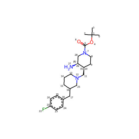 CC(C)(C)OC(=O)N1CC[C@@H](CN2CCCC(Cc3ccc(F)cc3)C2)[C@@H](N)C1